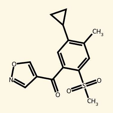 Cc1cc(S(C)(=O)=O)c(C(=O)c2cnoc2)cc1C1CC1